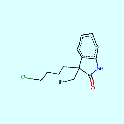 CC(C)CC1(CCCCCl)C(=O)Nc2ccccc21